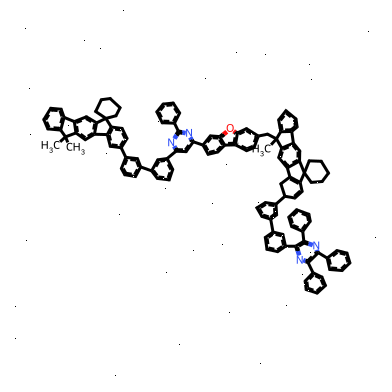 CC1(C)c2ccccc2-c2cc3c(cc21)-c1cc(-c2cccc(-c4cccc(-c5cc(-c6ccc7c(c6)oc6cc(CC8(C)c9ccccc9-c9cc%10c(cc98)C8=C(C=CC(c9cccc(-c%11cccc(-c%12nc(-c%13ccccc%13)c(-c%13ccccc%13)nc%12-c%12ccccc%12)c%11)c9)C8)C%108CCCCC8)ccc67)nc(-c6ccccc6)n5)c4)c2)ccc1C31CCCCC1